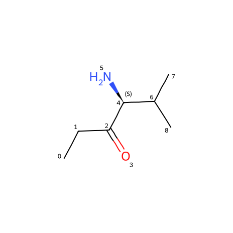 CCC(=O)[C@@H](N)C(C)C